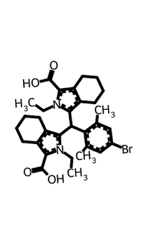 CCn1c(C(=O)O)c2c(c1C(c1c(C)cc(Br)cc1C)c1c3c(c(C(=O)O)n1CC)CCCC3)CCCC2